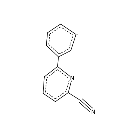 N#Cc1cccc(-c2c[c]ccc2)n1